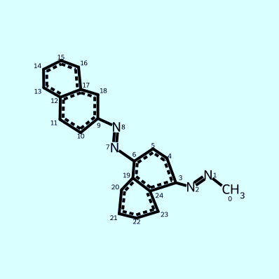 CN=Nc1ccc(N=Nc2ccc3ccccc3c2)c2ccccc12